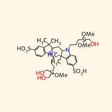 CO[Si](CO)(CO)CCC[N+]1=C(CC2N(CCC[Si](CO)(OC)OC)c3ccc(S(=O)(=O)O)cc3C2(C)C)C(C)(C)c2cc(S(=O)(=O)O)ccc21